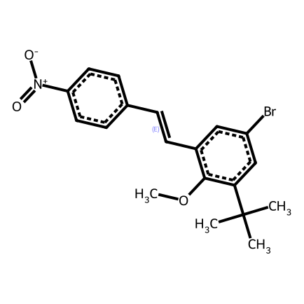 COc1c(/C=C/c2ccc([N+](=O)[O-])cc2)cc(Br)cc1C(C)(C)C